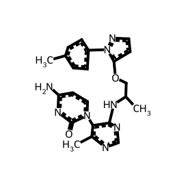 Cc1ccc(-n2nccc2OCC(C)Nc2ncnc(C)c2-n2ccc(N)nc2=O)cc1